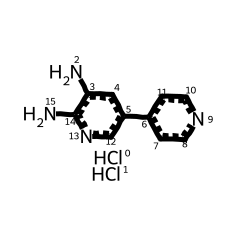 Cl.Cl.Nc1cc(-c2ccncc2)cnc1N